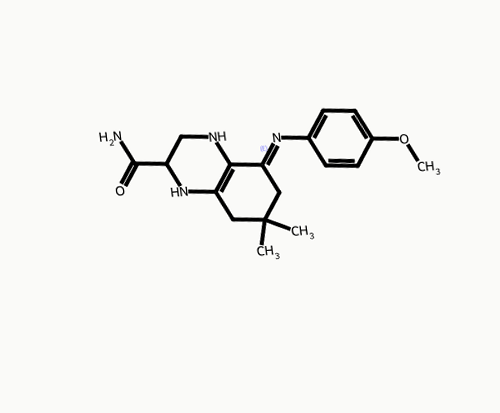 COc1ccc(/N=C2\CC(C)(C)CC3=C2NCC(C(N)=O)N3)cc1